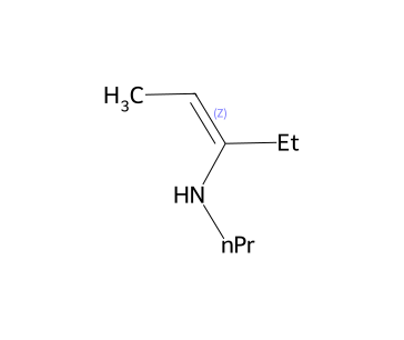 C/C=C(/CC)NCCC